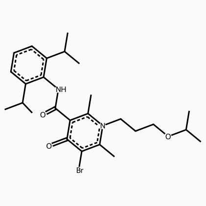 Cc1c(Br)c(=O)c(C(=O)Nc2c(C(C)C)cccc2C(C)C)c(C)n1CCCOC(C)C